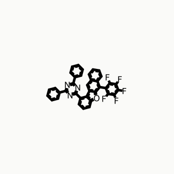 Fc1c(F)c(F)c(-c2c3ccccc3cc3c2oc2cccc(-c4nc(-c5ccccc5)nc(-c5ccccc5)n4)c23)c(F)c1F